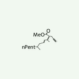 C#CCC(C(=O)OC)=C(C)C=CCC(C)CCCCC